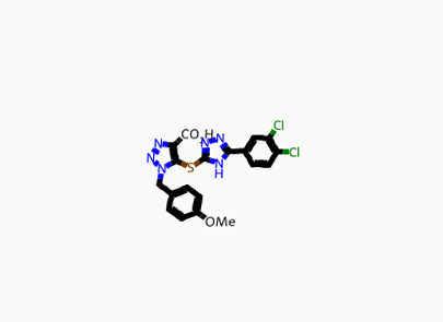 COc1ccc(Cn2nnc(C(=O)O)c2Sc2nnc(-c3ccc(Cl)c(Cl)c3)[nH]2)cc1